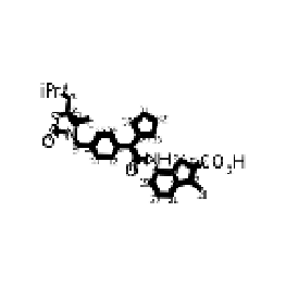 Cc1c(CC(C)C)sc(=O)n1Cc1ccc(C(C(=O)Nc2cccc3c2CC(C(=O)O)C3C)C2CCCC2)cc1